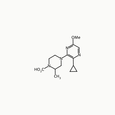 COc1cnc(C2CC2)c(N2CCN(C(=O)O)C(C)C2)n1